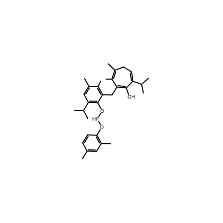 CC1=C(C)C(Cc2c(C)c(C)cc(C(C)C)c2OPOc2ccc(C)cc2C)=C(O)C(C(C)C)=CC1